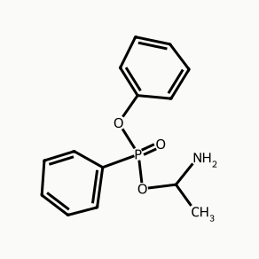 CC(N)OP(=O)(Oc1ccccc1)c1ccccc1